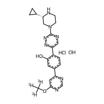 Cl.Cl.[2H]C([2H])([2H])Oc1cc(-c2ccc(-c3cnc(N4CCN[C@@H](C5CC5)C4)nn3)c(O)c2)ncn1